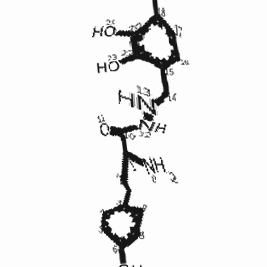 NC(Cc1ccc(O)cc1)C(=O)NNCc1ccc(O)c(O)c1O